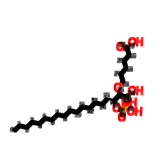 CCCCCCCCCCCCCCCC[C@@H](OP(=O)(O)O)[C@H](CO)OCCCCCC(=O)O